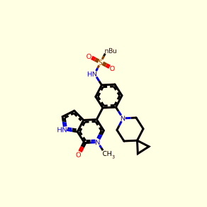 CCCCS(=O)(=O)Nc1ccc(N2CCC3(CC2)CC3)c(-c2cn(C)c(=O)c3[nH]ccc23)c1